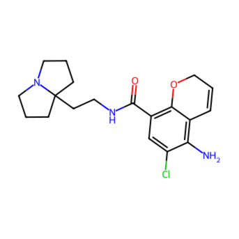 Nc1c(Cl)cc(C(=O)NCCC23CCCN2CCC3)c2c1C=CCO2